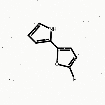 Fc1ccc(-c2ccc[nH]2)o1